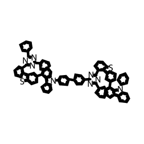 c1ccc(-c2nc(-c3ccccc3)nc(-c3cccc4sc5ccc(-c6cccc7c6c6ccccc6n7-c6ccc(-c7ccc(-c8nc(-c9ccccc9)nc(-c9cccc%10sc%11ccc(-c%12cccc%13c%14ccccc%14n(-c%14ccccc%14)c%12%13)cc%11c9%10)n8)cc7)cc6)cc5c34)n2)cc1